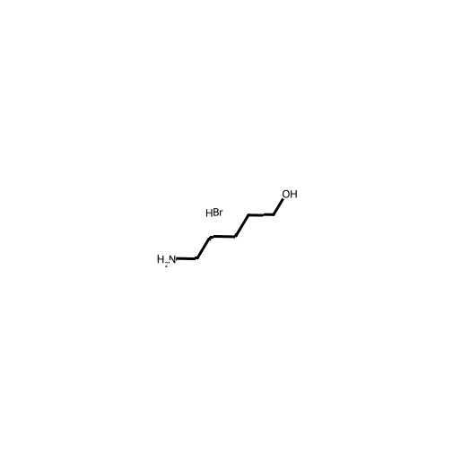 Br.NCCCCCO